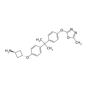 Cc1nnc(Oc2ccc(C(C)(C)c3ccc(O[C@H]4C[C@H](N)C4)cc3)cc2)o1